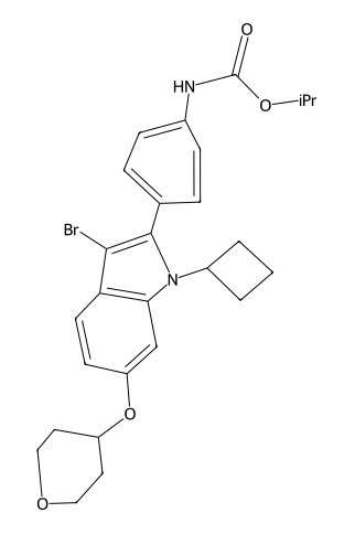 CC(C)OC(=O)Nc1ccc(-c2c(Br)c3ccc(OC4CCOCC4)cc3n2C2CCC2)cc1